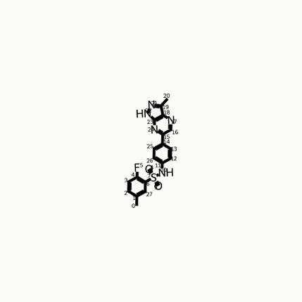 Cc1ccc(F)c(S(=O)(=O)Nc2ccc(-c3cnc4c(C)n[nH]c4n3)cc2)c1